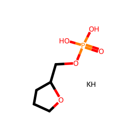 O=P(O)(O)OCC1CCCO1.[KH]